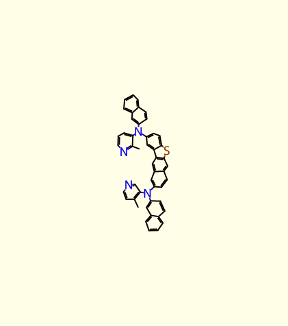 Cc1ccncc1N(c1ccc2ccccc2c1)c1ccc2cc3sc4ccc(N(c5ccc6ccccc6c5)c5cccnc5C)cc4c3cc2c1